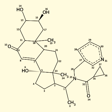 CC(C1CC[C@@]2(O)C3=CC(=O)C4CC(O)[C@@H](O)CC4(C)C3CCC12C)N(Cc1cccnc1)C(=O)C1CC1